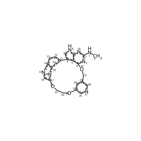 CNc1nc2c3c(c[nH]c3n1)-c1ccc3ncc(nc3c1)OCCOc1cncc(c1)CO2